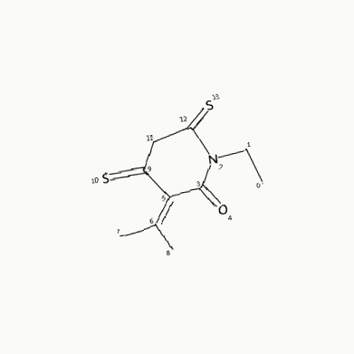 CCN1C(=O)C(=C(C)C)C(=S)CC1=S